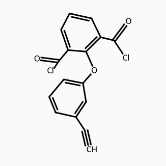 C#Cc1cccc(Oc2c(C(=O)Cl)cccc2C(=O)Cl)c1